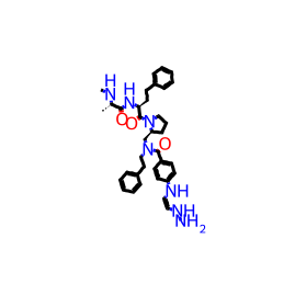 CN[C@@H](C)C(=O)N[C@@H](CCc1ccccc1)C(=O)N1CCC[C@H]1CN(CCc1ccccc1)C(=O)c1ccc(N/C=C\NN)cc1